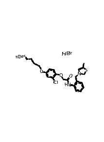 Br.CCCCCCCCCCCCCCOc1ccc(OCC(=O)Nc2ccccc2CN2C=C(C)SC2)c(Cl)c1